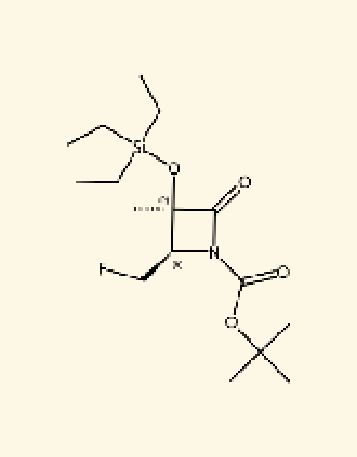 CC[Si](CC)(CC)O[C@@]1(C)C(=O)N(C(=O)OC(C)(C)C)[C@H]1CF